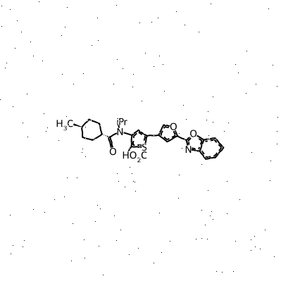 CC(C)N(c1cc(-c2coc(-c3nc4ccccc4o3)c2)sc1C(=O)O)C(=O)[C@H]1CC[C@H](C)CC1